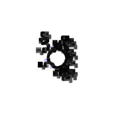 CC1=C/C[C@@H](/C(C)=C/c2csc(C)n2)OC(=O)C[C@H](O[Si](C)(C)C(C)(C)C)C(C)(C)C(=O)[C@H](C)[C@@H](O[Si](C)(C)C(C)(C)C)[C@@H](C)C\C=C\1